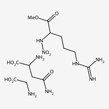 COC(=O)C(CCCNC(=N)N)N[N+](=O)[O-].NC(=O)CC(N)C(=O)O.NCC(=O)O